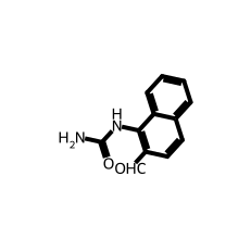 NC(=O)Nc1c(C=O)ccc2ccccc12